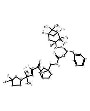 CC1(C)[C@@H]2C[C@H]3OB([C@H](Cc4ccccc4)NC(=O)OCC45CCC(CC4)N5C(=O)C(C#N)=CC(C)(C)N4CCC(F)(F)C4)O[C@@]3(C)[C@H]1C2